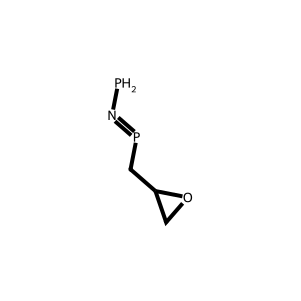 PN=PCC1CO1